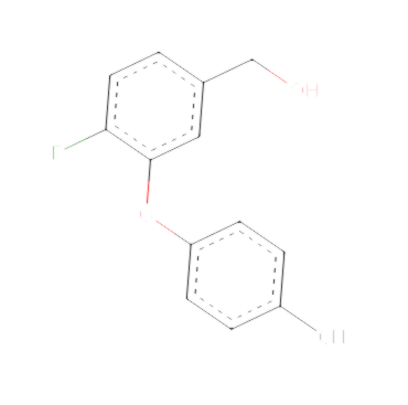 Cc1ccc(Oc2cc(CO)ccc2F)cc1